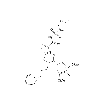 CCOC(=O)CN(C)S(=O)(=O)NC(=O)c1csc(CN(CCCc2ccccc2)C(=O)c2cc(OC)c(C)c(OC)c2)n1